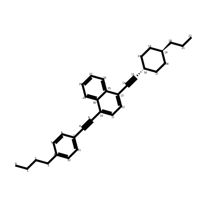 CCCCc1ccc(C#Cc2ccc(C#C[C@H]3CC[C@H](CCC)CC3)c3ccccc23)cc1